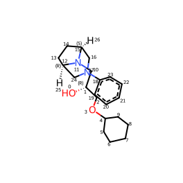 O[C@@H](COC1CCCCC1)CN1[C@@H]2CC[C@H]1CN(c1ccccc1)C2